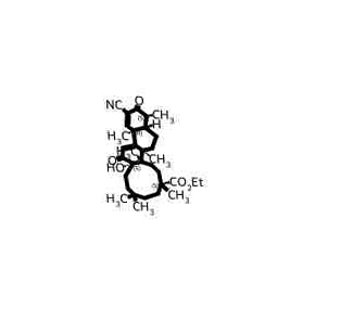 CCOC(=O)[C@@]1(C)CCC(C)(C)CC[C@@]2(O)C(=O)C=C3[C@@]4(C)C=C(C#N)C(=O)[C@@H](C)[C@@H]4CC[C@@]3(C)[C@]2(C)CC1